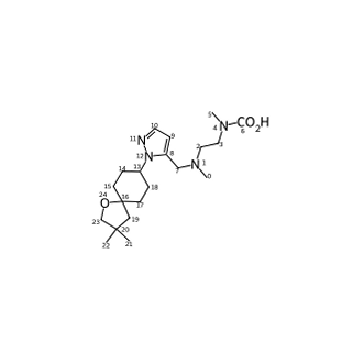 CN(CCN(C)C(=O)O)Cc1ccnn1C1CCC2(CC1)CC(C)(C)CO2